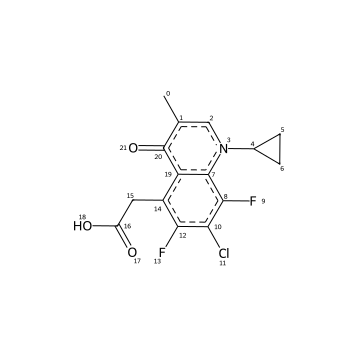 Cc1cn(C2CC2)c2c(F)c(Cl)c(F)c(CC(=O)O)c2c1=O